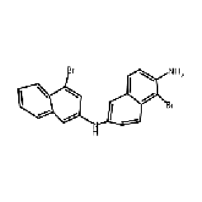 Nc1ccc2cc(Nc3cc(Br)c4ccccc4c3)ccc2c1Br